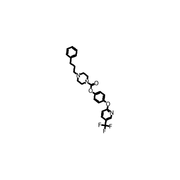 O=C(Oc1ccc(Oc2ccc(C(F)(F)F)cn2)cc1)N1CCN(CCCc2ccccc2)CC1